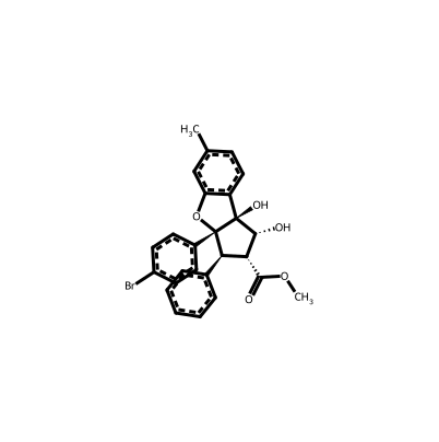 COC(=O)[C@H]1[C@@H](O)[C@@]2(O)c3ccc(C)cc3O[C@@]2(c2ccc(Br)cc2)[C@@H]1c1ccccc1